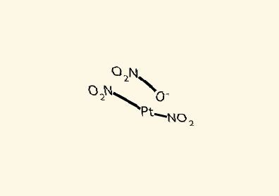 O=[N+]([O-])[O-].O=[N+]([O-])[Pt][N+](=O)[O-]